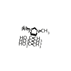 CC(=O)O.CC(=O)O.CC(=O)O.CCN1C=CN(C)C1.P